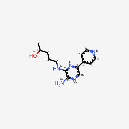 CC(O)CCCNc1nc(-c2ccncc2)cnc1N